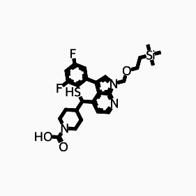 C[Si](C)(C)CCOCn1cc(-c2cc(F)cc(F)c2)c2c(C(S)C3CCN(C(=O)O)CC3)ccnc21